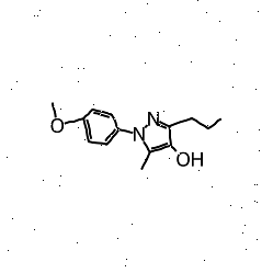 CCCc1nn(-c2ccc(OC)cc2)c(C)c1O